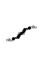 CCCCc1ccc(CCc2ccc3cc4c(cc3c2)sc2cc3c(cc24)sc2cc4cc(CCc5ccc(CCCC)cc5)ccc4cc23)cc1